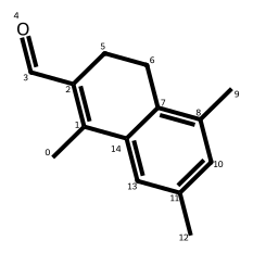 CC1=C(C=O)CCc2c(C)cc(C)cc21